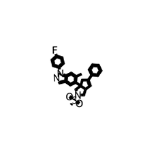 Cc1cc2c(cnn2-c2ccc(F)cc2)cc1C12CC(c3ccccc3)=CC1CN(S(C)(=O)=O)C2